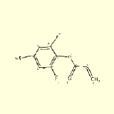 C=CC(=O)Oc1c(F)cc(F)cc1F